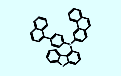 c1ccc2c(-c3ccc(N(c4ccc5ccc6ccccc6c5c4)c4cccc5oc6ccccc6c45)cc3)cccc2c1